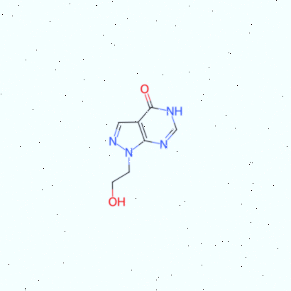 O=c1[nH]cnc2c1cnn2CCO